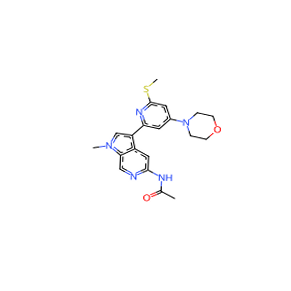 CSc1cc(N2CCOCC2)cc(-c2cn(C)c3cnc(NC(C)=O)cc23)n1